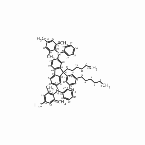 CCCCCCc1cc(C)cc(C2(CCCCCC)c3cc(N(c4ccccc4)c4c(C)cc(C)cc4C)ccc3-c3ccc(N(c4ccccc4)c4c(C)cc(C)cc4C)cc32)c1